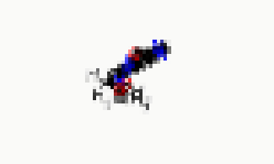 CC(C)(C)OC(=O)N(C1CCN(c2ccc3c(n2)OCc2cc(-n4nccn4)ccc2-3)C1)C1(C)CC1